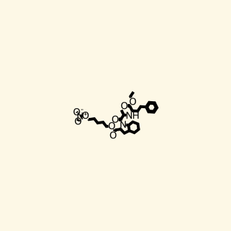 CCOC(=O)C(CCc1ccccc1)NC(C)C(=O)N1C(C(=O)OCCCCCO[N+](=O)[O-])CC2CCCCC21